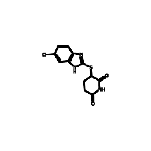 O=C1CCC(Sc2nc3ccc(Cl)cc3[nH]2)C(=O)N1